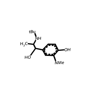 CNc1cc(C(O)C(C)NC(C)(C)C)ccc1O